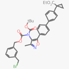 CCOC(=O)C1(c2ccc(-c3ccc(-c4onc(C)c4N(C(=O)OCc4cccc(CBr)c4)C(=O)OC(C)(C)C)cc3)cc2)CC1